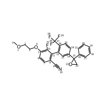 COCCOc1ccc(C#N)c(-c2cc(C3(c4ccccc4)CO3)ccc2C(F)(F)F)c1F